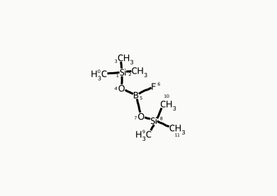 C[Si](C)(C)OB(F)O[Si](C)(C)C